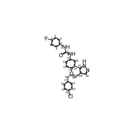 O=C(Nc1ccc(F)cc1)Nc1ccc(OCc2ccc(Cl)cc2)c(-c2[nH]ncc2Br)c1